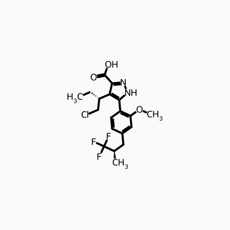 CC[C@@H](CCl)c1c(C(=O)O)n[nH]c1-c1ccc(C[C@@H](C)C(F)(F)F)cc1OC